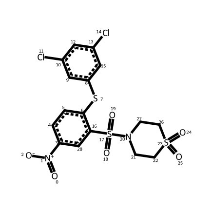 O=[N+]([O-])c1ccc(Sc2cc(Cl)cc(Cl)c2)c(S(=O)(=O)N2CCS(=O)(=O)CC2)c1